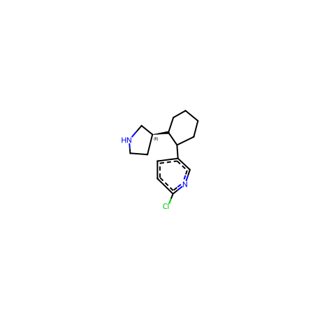 Clc1ccc(C2CCCCC2[C@H]2CCNC2)cn1